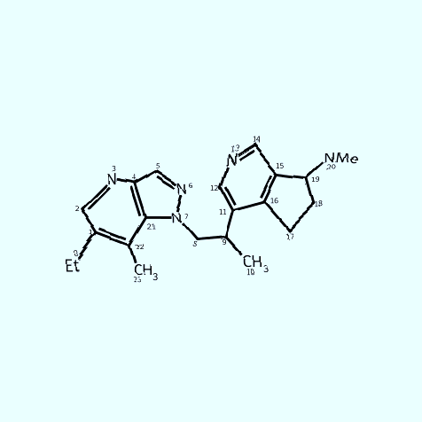 CCc1cnc2cnn(CC(C)c3cncc4c3CCC4NC)c2c1C